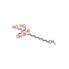 CCCCCCCCCCCCS(=O)(=O)C(CO)N(CCO)CCO